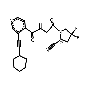 N#C[C@@H]1CC(F)(F)CN1C(=O)CNC(=O)c1ccncc1C#CC1CCCCC1